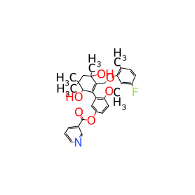 COc1ccc(OC(=O)c2cccnc2)cc1C1=C(COc2cc(F)ccc2C)C(C)(O)CC(C)(C)C1O